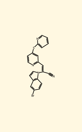 N#C/C(=C/c1cc(Sc2ccccn2)ccn1)n1ccc2cc(Br)ccc21